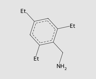 CCc1cc(CC)c(CN)c(CC)c1